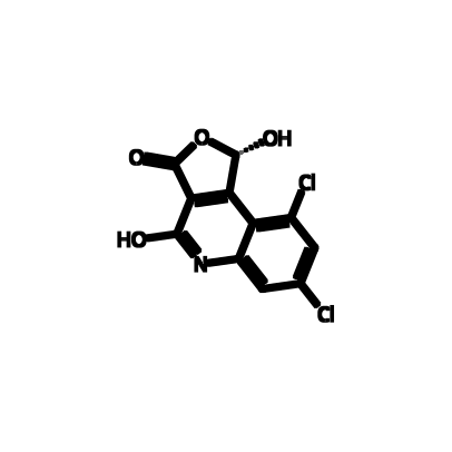 O=C1O[C@H](O)c2c1c(O)nc1cc(Cl)cc(Cl)c21